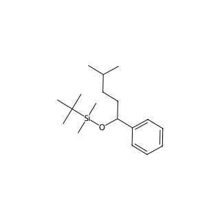 CC(C)CCC(O[Si](C)(C)C(C)(C)C)c1ccccc1